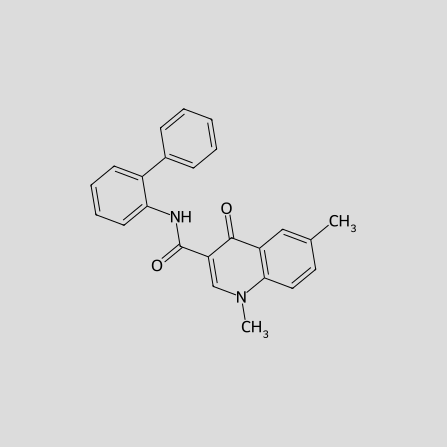 Cc1ccc2c(c1)c(=O)c(C(=O)Nc1ccccc1-c1ccccc1)cn2C